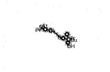 CCc1cc(N2CCN(CCCCCOc3ccc(C(c4ccc(O)cc4C(C)CC)C(c4ccccc4)C(C)C)cc3)CC2)ccc1C(=O)C(C)C